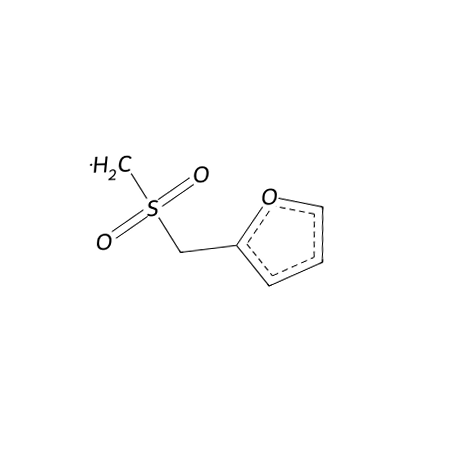 [CH2]S(=O)(=O)Cc1ccco1